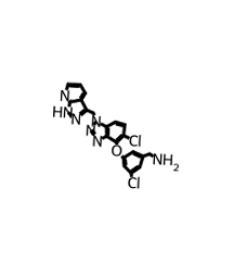 NCc1cc(Cl)cc(Oc2c(Cl)ccc3c2nnn3Cc2n[nH]c3ncccc23)c1